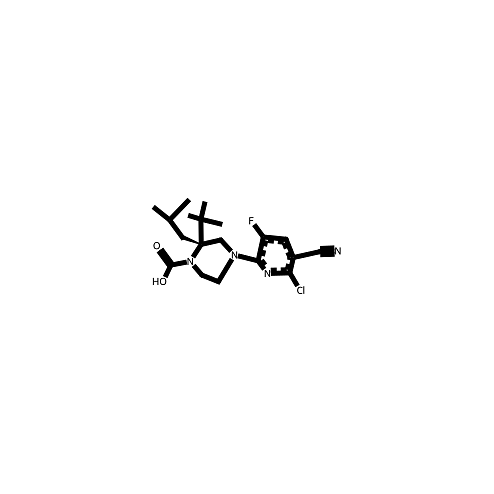 CC(C)C[C@@]1(C(C)(C)C)CN(c2nc(Cl)c(C#N)cc2F)CCN1C(=O)O